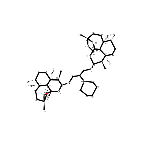 C[C@H]1[C@@H](OCC(CO[C@H]2O[C@@H]3O[C@@]4(C)CC[C@H]5[C@H](C)CC[C@@H]([C@H]2C)[C@@]35OO4)N2CCCCC2)OC2O[C@@]3(C)CC[C@H]4[C@H](C)CC[C@@H]1[C@@]24OO3